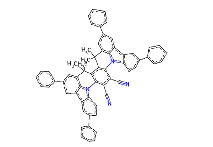 CC1(C)c2c(c(C#N)c(C#N)c3c2C(C)(C)c2cc(-c4ccccc4)cc4c5cc(-c6ccccc6)ccc5n-3c24)-n2c3ccc(-c4ccccc4)cc3c3cc(-c4ccccc4)cc1c32